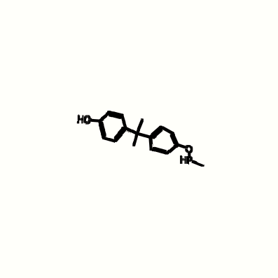 CPOc1ccc(C(C)(C)c2ccc(O)cc2)cc1